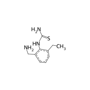 CCc1cccc(CN)c1NC(N)=S